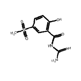 CS(=O)(=O)c1ccc(O)c(C(=O)NC(=N)N)c1